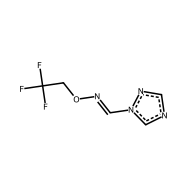 FC(F)(F)CON=Cn1cncn1